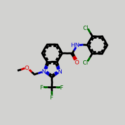 COCn1c(C(F)(F)F)nc2c(C(=O)Nc3c(Cl)cccc3Cl)cccc21